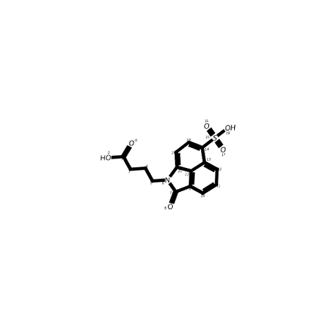 O=C(O)CCCN1C(=O)c2cccc3c(S(=O)(=O)O)ccc1c23